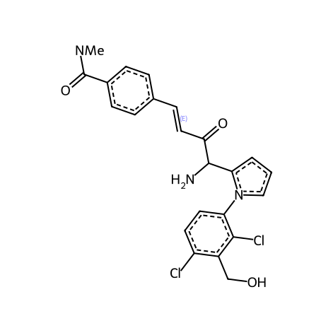 CNC(=O)c1ccc(/C=C/C(=O)C(N)c2cccn2-c2ccc(Cl)c(CO)c2Cl)cc1